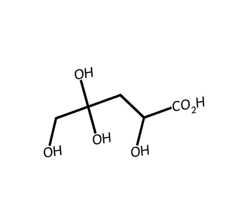 O=C(O)C(O)CC(O)(O)CO